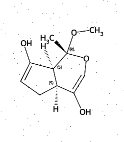 CO[C@]1(C)OC=C(O)[C@H]2CC=C(O)[C@H]21